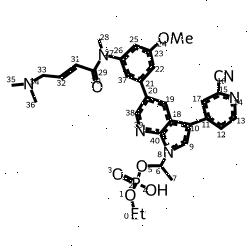 CCOP(=O)(O)OC(C)n1cc(-c2ccnc(C#N)c2)c2cc(-c3cc(OC)cc(N(C)C(=O)/C=C/CN(C)C)c3)cnc21